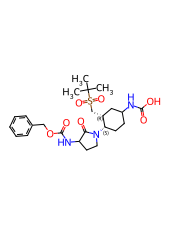 CC(C)(C)S(=O)(=O)C[C@@H]1CC(NC(=O)O)CC[C@@H]1N1CCC(NC(=O)OCc2ccccc2)C1=O